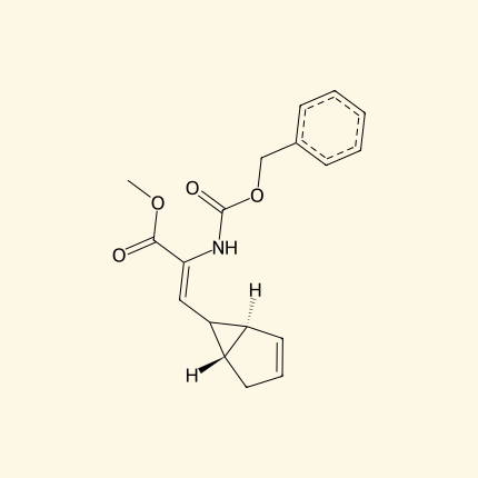 COC(=O)C(=CC1[C@H]2C=CC[C@H]12)NC(=O)OCc1ccccc1